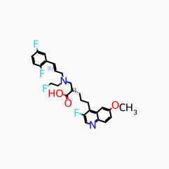 COc1ccc2ncc(F)c(CCC[C@@H](CN(C/C=C/c3cc(F)ccc3F)CCF)C(=O)O)c2c1